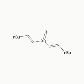 CCCCC=[CH][Sn](=[S])[CH]=CCCCC